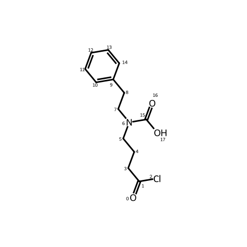 O=C(Cl)CCCN(CCc1ccccc1)C(=O)O